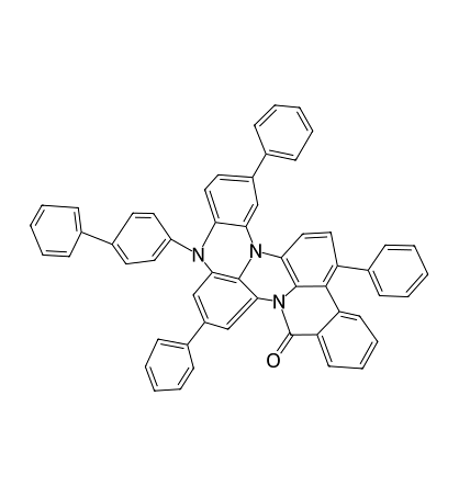 O=c1c2ccccc2c2c(-c3ccccc3)ccc3c2n1c1cc(-c2ccccc2)cc2c1-n3c1cc(-c3ccccc3)ccc1n2-c1ccc(-c2ccccc2)cc1